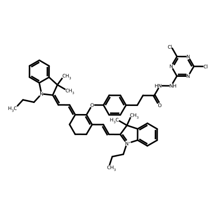 CCCN1/C(=C/C=C2\CCCC(/C=C/C3=[N+](CCC)c4ccccc4C3(C)C)=C2Oc2ccc(CCC(=O)NNc3nc(Cl)nc(Cl)n3)cc2)C(C)(C)c2ccccc21